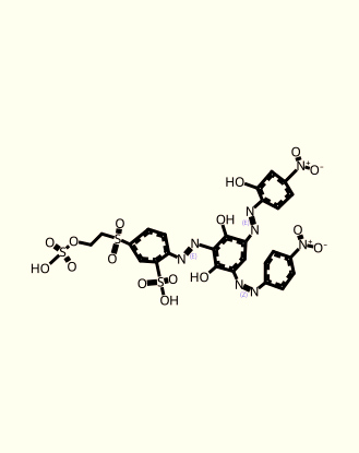 O=[N+]([O-])c1ccc(/N=N\c2cc(/N=N/c3ccc([N+](=O)[O-])cc3O)c(O)c(/N=N/c3ccc(S(=O)(=O)CCOS(=O)(=O)O)cc3S(=O)(=O)O)c2O)cc1